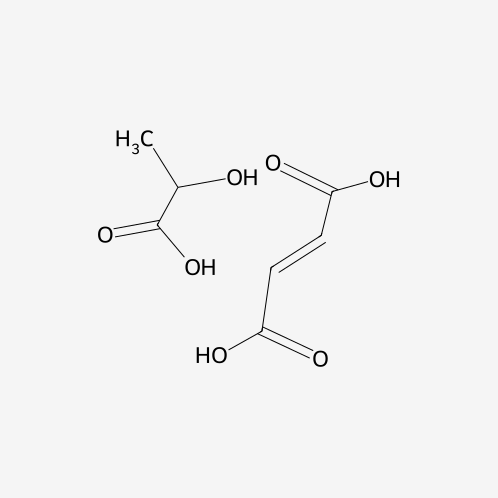 CC(O)C(=O)O.O=C(O)/C=C/C(=O)O